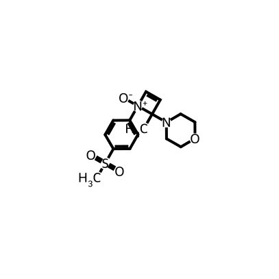 CC1(N2CCOCC2)C=C[N+]1([O-])c1ccc(S(C)(=O)=O)cc1